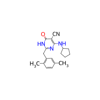 Cc1ccc(C)c(Cc2nc(NC3CCCC3)c(C#N)c(=O)[nH]2)c1